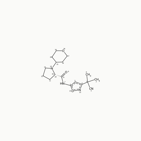 CC(C)(C#N)c1cc(NC(=O)[C@@H]2CCCN2C2CCOCC2)on1